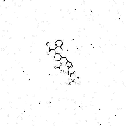 CC(=O)SC1CCN(C(C(=O)C2CC2)c2ccccc2F)C/C1=C/c1csc(NC(=O)OC(C)(C)C)n1